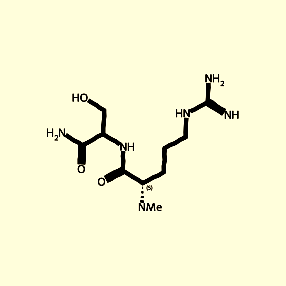 CN[C@@H](CCCNC(=N)N)C(=O)NC(CO)C(N)=O